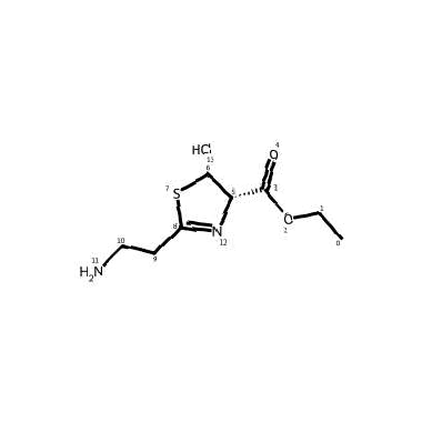 CCOC(=O)[C@H]1CSC(CCN)=N1.Cl